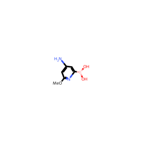 COc1cc(N)cc(B(O)O)n1